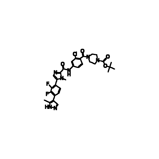 Cc1[nH]ncc1-c1ccc(-c2cnc(C(=O)Nc3ccc(C(=O)N4CCN(C(=O)OC(C)(C)C)CC4)c(Cl)c3)n2C)c(F)c1F